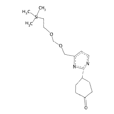 C[Si](C)(C)CCOCOCc1ccnc(C2CCC(=O)CC2)n1